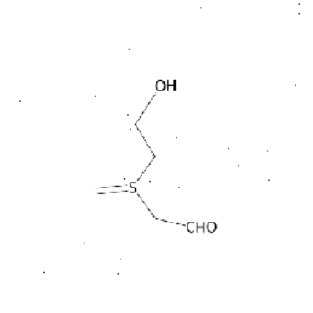 C=S(CC=O)CCO